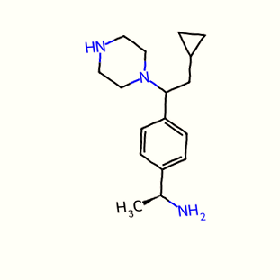 C[C@H](N)c1ccc(C(CC2CC2)N2CCNCC2)cc1